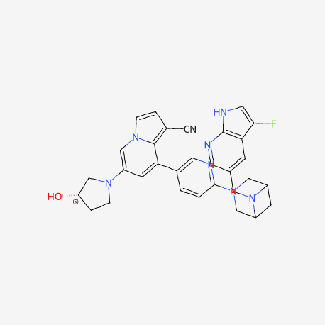 N#Cc1ccn2cc(N3CC[C@H](O)C3)cc(-c3ccc(N4CC5CC(C4)N5Cc4cnc5[nH]cc(F)c5c4)nc3)c12